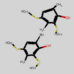 CCCCCCCCSc1cc(C(C)(C)C)c(O)c(SCCCCCCCC)c1C.CCCCCCCCSc1cc(C)c(O)c(SCCCCCCCC)c1C